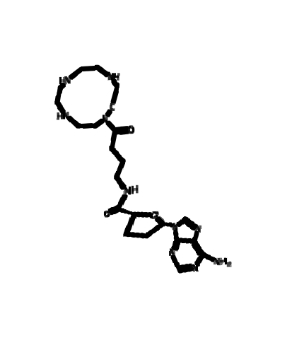 Nc1ncnc2c1ncn2[C@H]1CC[C@@H](C(=O)NCCCC(=O)N2CCNCCNCCNCC2)O1